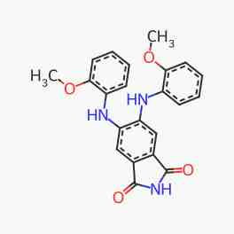 COc1ccccc1Nc1cc2c(cc1Nc1ccccc1OC)C(=O)NC2=O